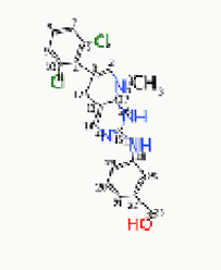 CN1C=C(c2c(Cl)cccc2Cl)CC2=CN=C(Nc3cccc(CO)c3)NC21